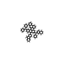 CC1(C)c2ccccc2-c2ccc(-c3c4cc(N(c5ccccc5)c5ccc6c(c5)CCC=C6)ccc4c(-c4cc5ccccc5c5ccccc45)c4cc(N(c5ccccc5)c5ccccc5)ccc34)cc21